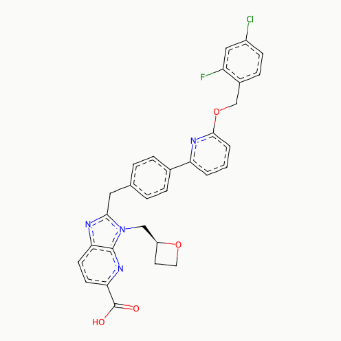 O=C(O)c1ccc2nc(Cc3ccc(-c4cccc(OCc5ccc(Cl)cc5F)n4)cc3)n(C[C@@H]3CCO3)c2n1